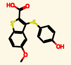 COc1ccc2sc(C(=O)O)c(Sc3ccc(O)cc3)c2c1